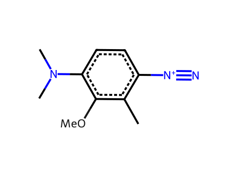 COc1c(N(C)C)ccc([N+]#N)c1C